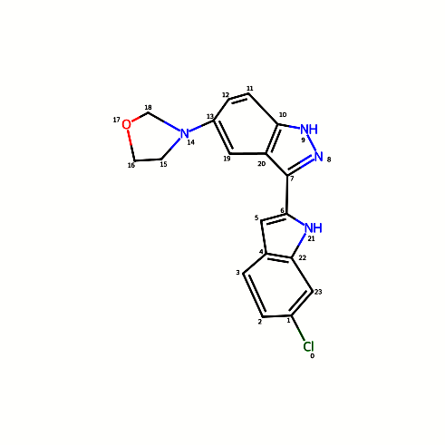 Clc1ccc2cc(-c3n[nH]c4ccc(N5CCOC5)cc34)[nH]c2c1